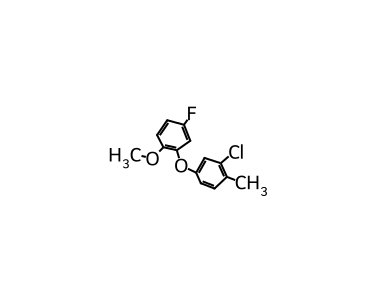 COc1ccc(F)cc1Oc1ccc(C)c(Cl)c1